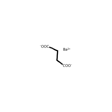 O=C([O-])CCC(=O)[O-].[Ba+2]